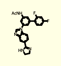 CC(=O)Nc1cc(-c2ccc(F)cc2F)cc(-n2cnc3cc(C4=NCCN4)ccc32)c1